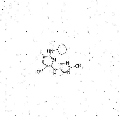 Cc1ncc(Nc2nc(NC3CCCCC3)c(F)cc2C=O)cn1